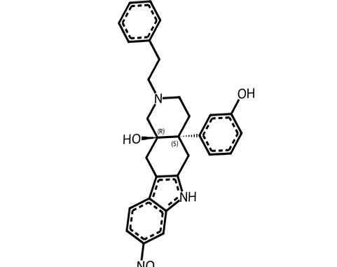 O=[N+]([O-])c1ccc2c3c([nH]c2c1)C[C@]1(c2cccc(O)c2)CCN(CCc2ccccc2)C[C@@]1(O)C3